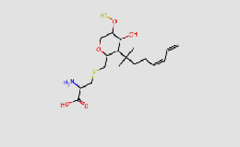 C=C/C=C\CCC(C)(C)C1C(CSCC(N)C(=O)O)OCC(OS)C1O